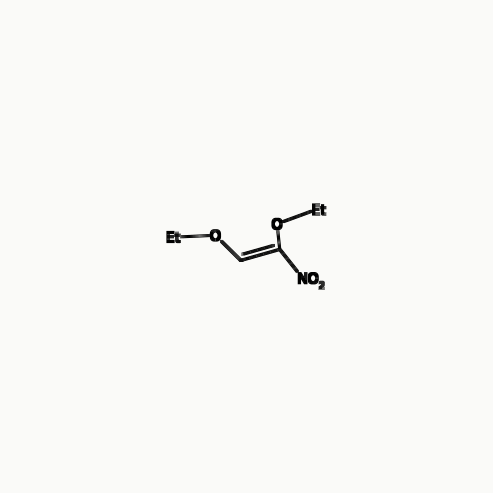 CCOC=C(OCC)[N+](=O)[O-]